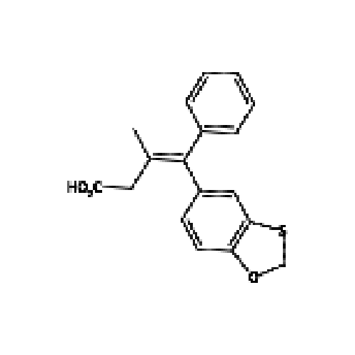 C/C(CC(=O)O)=C(\c1ccccc1)c1ccc2c(c1)SCO2